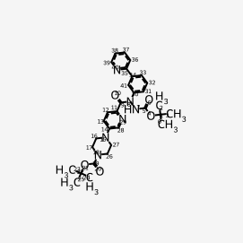 CC(C)(C)OC(=O)NN(C(=O)c1ccc(N2CCN(C(=O)OC(C)(C)C)CC2)cn1)c1cccc(-c2ccccn2)c1